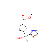 COC(=O)C1CC[C@H]([C@](C)(O)c2nccs2)C1